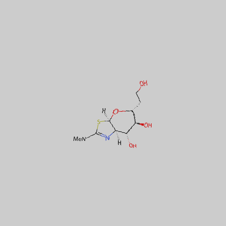 CNC1=N[C@@H]2[C@@H](O)[C@H](O)[C@@H](CCO)O[C@@H]2S1